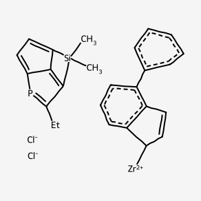 CCC1=PC2=CC=C3C2=C1[Si]3(C)C.[Cl-].[Cl-].[Zr+2][CH]1C=Cc2c(-c3ccccc3)cccc21